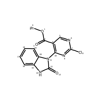 CC(C)OC(=O)c1cnc(Cl)nc1-n1c(=O)[nH]c2ccccc21